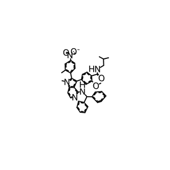 COc1cc(-c2c(-c3ccc([N+](=O)[O-])cc3C)n(C)c3ccnc(NC(c4ccccc4)c4ccccc4)c23)ccc1C(=O)NCC(C)C